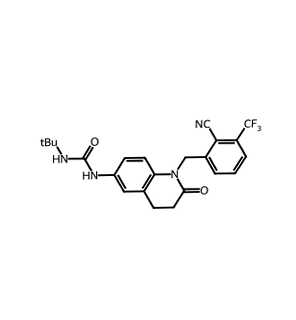 CC(C)(C)NC(=O)Nc1ccc2c(c1)CCC(=O)N2Cc1cccc(C(F)(F)F)c1C#N